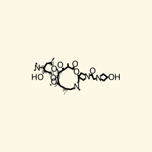 CO[C@]1(C)C[C@@H](C)CN(C)CC2(CN(C(=O)CN3CC(O)C3)C2)OC(=O)C(C)C(=O)[C@H](C)[C@H]1O[C@@H]1O[C@H](C)C[C@H](N(C)C)[C@H]1O